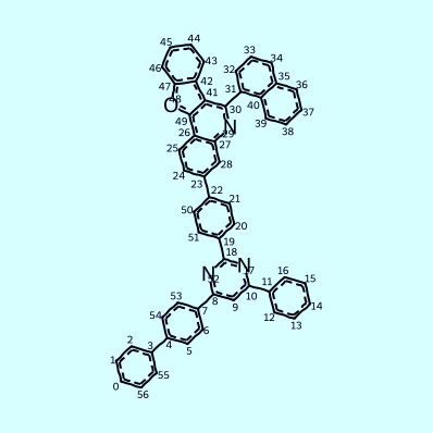 c1ccc(-c2ccc(-c3cc(-c4ccccc4)nc(-c4ccc(-c5ccc6c(c5)nc(-c5cccc7ccccc57)c5c7ccccc7oc65)cc4)n3)cc2)cc1